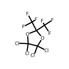 FC(F)(F)C1(C(F)(F)F)OC(Cl)(Cl)C(Cl)(Cl)O1